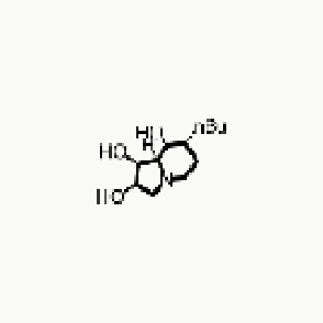 CCCC[C@@H]1CCN2C[C@@H](O)[C@@H](O)[C@H]2[C@@H]1O